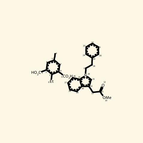 CCc1c(C(=O)O)cc(C)cc1C(=O)O.COC(=O)Cc1cn(CCc2ccccc2)c2ccccc12